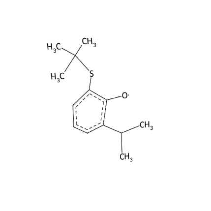 CC(C)c1cccc(SC(C)(C)C)c1[O]